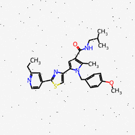 CCc1cc(-c2nc(-c3cc(C(=O)NCC(C)C)c(C)n3Cc3ccc(OC)cc3)cs2)ccn1